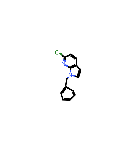 Clc1ccc2ccn(Cc3ccccc3)c2n1